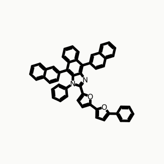 c1ccc(-c2ccc(-c3ccc(-c4nc5c(-c6ccc7ccccc7c6)c6ccccc6c(-c6ccc7ccccc7c6)c5n4-c4ccccc4)o3)o2)cc1